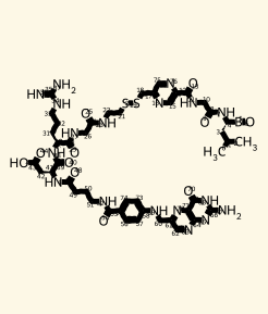 CC(C)C[C@@H](B=O)NC(=O)CNC(=O)c1cnc(CSSCCNC(=O)CNC(=O)[C@H](CCCNC(=N)N)NC(=O)[C@H](CC(=O)O)NC(=O)CCCNC(=O)c2ccc(NCc3cnc4nc(N)[nH]c(=O)c4n3)cc2)cn1